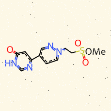 COS(=O)(=O)CC[n+]1ccc(-c2cc(=O)[nH]cn2)cn1